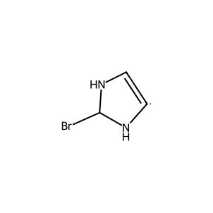 BrC1N[C]=CN1